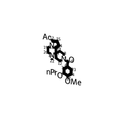 CCCOc1cc(C(=O)N2CCC3(CC2)c2ccc(C(C)=O)n2CCN3C)ccc1OC